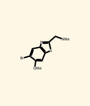 CNCc1nc2cc(Br)c(OC)cc2s1